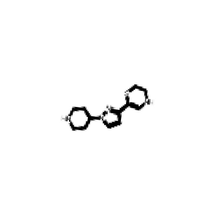 C1=C(c2ccn(C3CCNCC3)n2)SCCN1